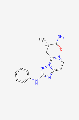 C[C@@H](Cc1nccc2nc(Nc3ccccc3)nn12)C(N)=O